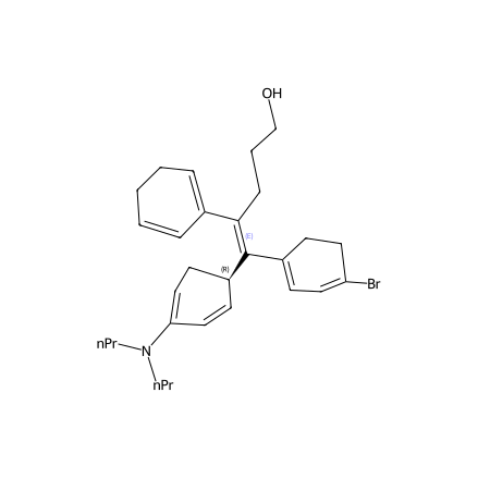 CCCN(CCC)C1=CC[C@@H](/C(C2=CC=C(Br)CC2)=C(/CCCO)C2=CCCC=C2)C=C1